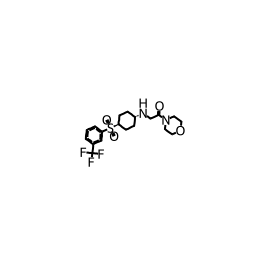 O=C(CN[C@H]1CC[C@H](S(=O)(=O)c2cccc(C(F)(F)F)c2)CC1)N1CCOCC1